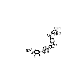 Cc1cc(Nc2nccn3c(-c4ccc(OC(C)C#N)c(F)c4F)cnc23)ccc1C(=O)N1CCN(C(=O)[C@@H]2C[C@@H](O)CN2)CC1